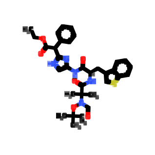 CCOC(=O)C(c1ccccc1)c1nc(NC(=O)[C@@H](Cc2csc3ccccc23)NC(=O)C(C)(C)N(C=O)OC(C)(C)C)c[nH]1